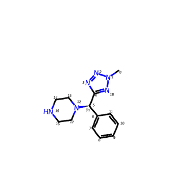 Cn1nnc([C@@H](c2ccccc2)N2CCNCC2)n1